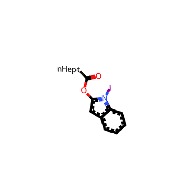 CCCCCCCC(=O)Oc1cc2ccccc2n1I